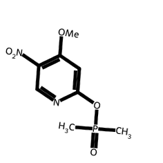 COc1cc(OP(C)(C)=O)ncc1[N+](=O)[O-]